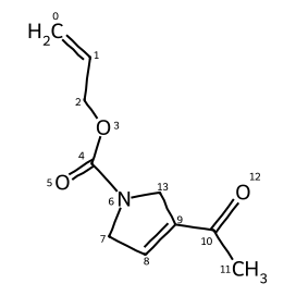 C=CCOC(=O)N1CC=C(C(C)=O)C1